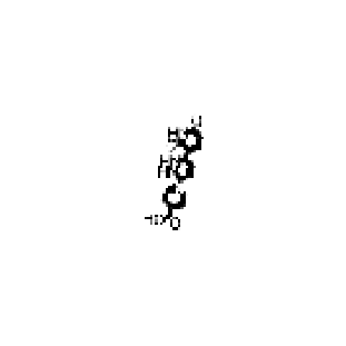 N=C(/C=C\C(=N)N1CCC(C(=O)O)CC1)C1CCC(=O)NC1=O